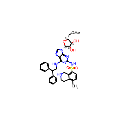 COC[C@H]1O[C@@H](n2cnc3c(NCC(c4ccccc4)c4ccccc4)nc(NS(=O)(=O)c4ccc(C)c5c4CNCC5)nc32)[C@H](O)[C@@H]1O